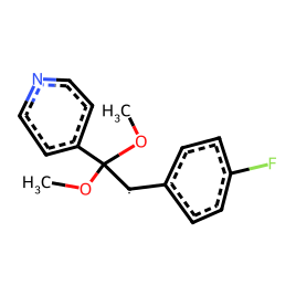 COC([CH]c1ccc(F)cc1)(OC)c1ccncc1